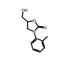 Cc1ccccc1N1CC(CO)OC1=O